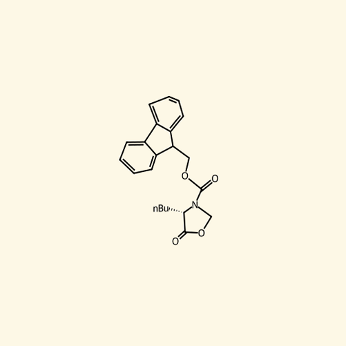 CCCC[C@H]1C(=O)OCN1C(=O)OCC1c2ccccc2-c2ccccc21